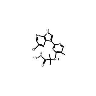 CCCNC(=O)C(C)(C)Nc1nc(-c2c[nH]c3ncc(Cl)cc23)ncc1C